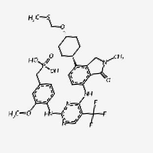 COc1cc(CP(=O)(O)O)ccc1Nc1ncc(C(F)(F)F)c(Nc2ccc([C@H]3CC[C@H](OCSC)CC3)c3c2C(=O)N(C)C3)n1